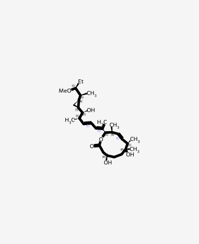 CC[C@H](OC)[C@@H](C)[C@H]1C[C@@H]1[C@H](O)[C@@H](C)/C=C/C=C(\C)[C@H]1OC(=O)C[C@H](O)CC[C@@](C)(O)[C@@H](C)/C=C/[C@@H]1C